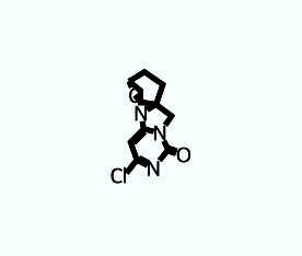 O=c1nc(Cl)cc2n1CC13CCC(CC1)CN23